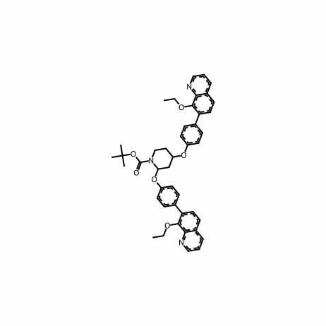 CCOc1c(-c2ccc(OC3CCN(C(=O)OC(C)(C)C)C(Oc4ccc(-c5ccc6cccnc6c5OCC)cc4)C3)cc2)ccc2cccnc12